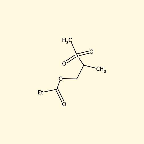 CCC(=O)OCC(C)S(C)(=O)=O